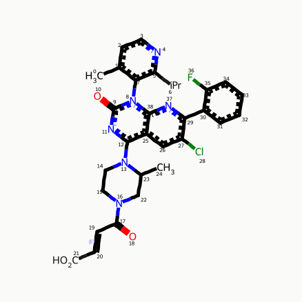 Cc1ccnc(C(C)C)c1-n1c(=O)nc(N2CCN(C(=O)/C=C/C(=O)O)CC2C)c2cc(Cl)c(-c3ccccc3F)nc21